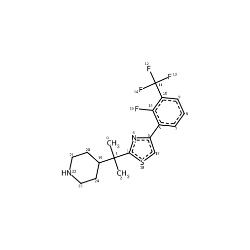 CC(C)(c1nc(-c2cccc(C(F)(F)F)c2F)cs1)C1CCNCC1